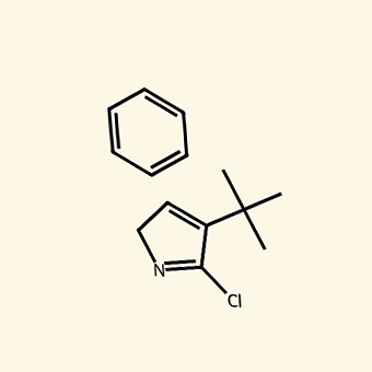 CC(C)(C)C1=CCN=C1Cl.c1ccccc1